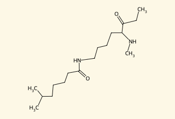 CCC(=O)C(CCCCNC(=O)CCCCC(C)C)NC